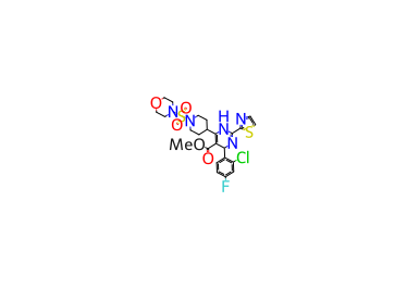 COC(=O)C1=C(C2CCN(S(=O)(=O)N3CCOCC3)CC2)NC(c2nccs2)=NC1c1ccc(F)cc1Cl